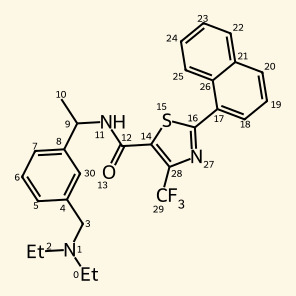 CCN(CC)Cc1cccc(C(C)NC(=O)c2sc(-c3cccc4ccccc34)nc2C(F)(F)F)c1